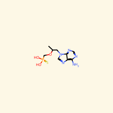 CC(Cn1cnc2c(N)ncnc21)OCP(O)(O)=S